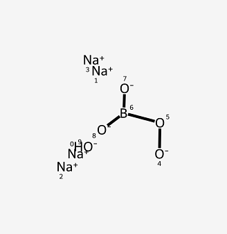 [Na+].[Na+].[Na+].[Na+].[O-]OB([O-])[O-].[OH-]